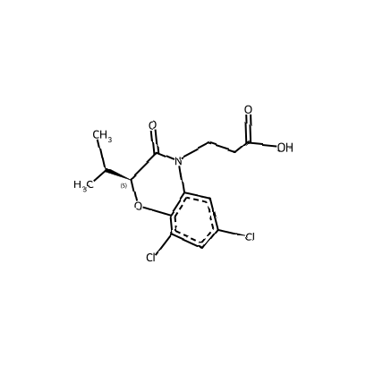 CC(C)[C@@H]1Oc2c(Cl)cc(Cl)cc2N(CCC(=O)O)C1=O